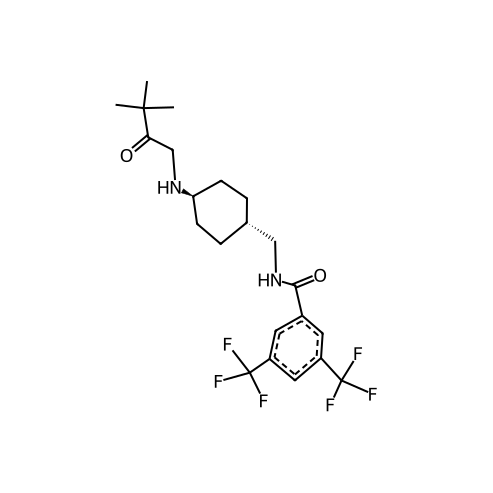 CC(C)(C)C(=O)CN[C@H]1CC[C@H](CNC(=O)c2cc(C(F)(F)F)cc(C(F)(F)F)c2)CC1